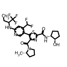 CCC(Nc1cc(C(F)F)c(-c2sc(C(=O)N[C@@H]3CCC[C@H]3O)nc2C(=O)N2CCC[C@@H]2C)cn1)C(F)(F)F